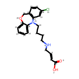 O=C(O)/C=C/CNCCCCN1c2cc(Cl)ccc2COc2ccccc21